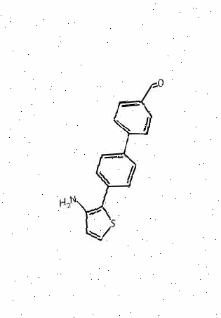 Nc1ccsc1-c1ccc(-c2ccc(C=O)cc2)cc1